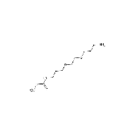 CC(C)(C)OC(=O)NCCCOCCOCCCN